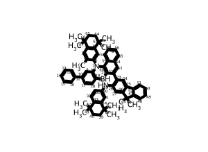 Cc1cc2c(cc1N1c3cc(-c4ccccc4)ccc3Bc3c(-c4cc5c(cc4Nc4ccc6c(c4)C(C)(C)CCC6(C)C)C(C)(C)c4ccccc4-5)cc4ccccc4c31)C(C)(C)CCC2(C)C